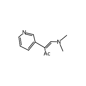 CC(=O)C(=CN(C)C)c1cccnc1